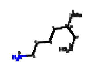 CN[C@@H](CCCCN)CC(=O)O